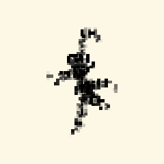 CCCCCCCCCCCCn1c(=O)c2c[c]([Sn]([CH2]CCC)([CH2]CCC)[CH2]CCC)c(c1=O)c1c3c[c]([Sn]([CH2]CCC)([CH2]CCC)[CH2]CCC)c(c(=O)n(CCCCCCCCCCCC)c3=O)c21